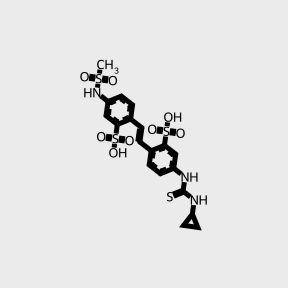 CS(=O)(=O)Nc1ccc(C=Cc2ccc(NC(=S)NC3CC3)cc2S(=O)(=O)O)c(S(=O)(=O)O)c1